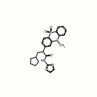 CN1c2ccccc2S(=O)(=O)c2ccc(C(CC3CCCC3)C(=O)Nc3nccs3)cc21